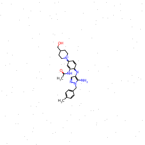 CC(=O)NC1=CC(=[N+]2CCC(CO)CC2)C=C/C1=N/c1cnn(Cc2ccc(C)cc2)c1N